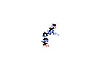 Cc1c(-c2ncco2)nc(N)n2nc([C@@H]3CCCN(c4cnn([C@@H](C)C(C)(C)O)c4)C3)nc12